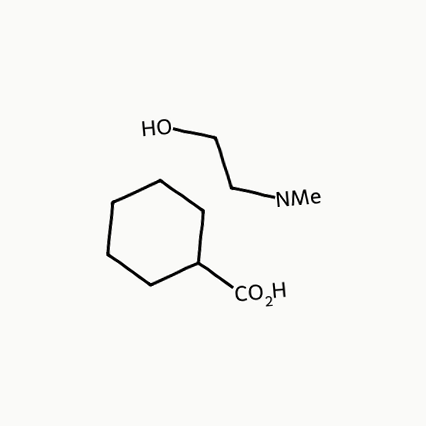 CNCCO.O=C(O)C1CCCCC1